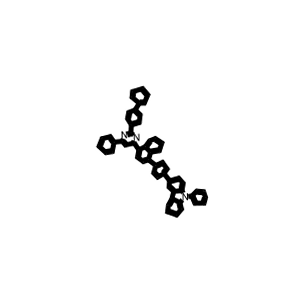 c1ccc(-c2ccc(-c3nc(-c4ccccc4)cc(-c4ccc(-c5ccc(-c6ccc7c(c6)c6ccccc6n7-c6ccccc6)cc5)c5ccccc45)n3)cc2)cc1